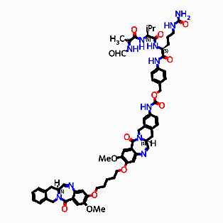 COc1cc2c(cc1OCCCCCOc1cc3c(cc1OC)C(=O)N1Cc4cc(NC(=O)OCc5ccc(NC(=O)[C@H](CCCNC(N)=O)NC(=O)[C@@H](NC(=O)[C@H](C)NC=O)C(C)C)cc5)ccc4C[C@H]1C=N3)N=C[C@@H]1Cc3ccccc3CN1C2=O